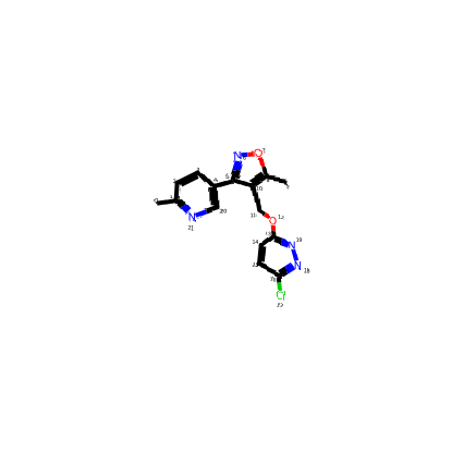 Cc1ccc(-c2noc(C)c2COc2ccc(Cl)nn2)cn1